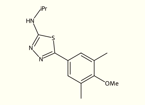 COc1c(C)cc(-c2nnc(NC(C)C)s2)cc1C